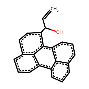 C=CC(O)c1ccc2cccc3c4cccc5cccc(c1c23)c54